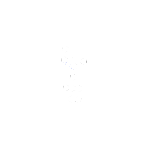 c1ccc(-c2ccnc3c2ccc2c(-c4ccccc4)cc(-c4ccc(-c5c6ccccc6c(-c6cccc7ccccc67)c6ccccc56)cc4)nc23)cc1